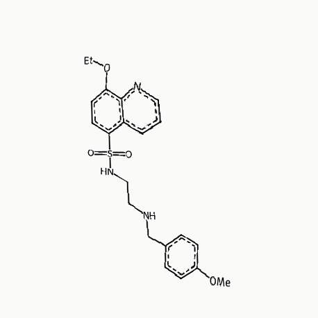 CCOc1ccc(S(=O)(=O)NCCNCc2ccc(OC)cc2)c2cccnc12